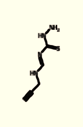 C#CCNC=NC(=S)NN